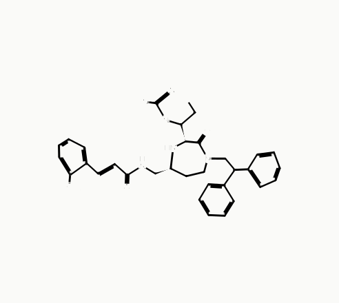 CCC(NC(=N)N)[C@@H]1N[C@H](CNC(=O)/C=C/c2ccccc2C)CCN(CC(c2ccccc2)c2ccccc2)C1=O